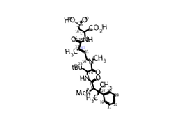 CNC(C(=O)NC(C(=O)N(C)C/C=C(\C)C(=O)NC(CS(=O)O)C(=O)O)C(C)(C)C)C(C)(C)c1ccccc1